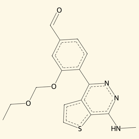 CCOCOc1cc(C=O)ccc1-c1nnc(NC)c2sccc12